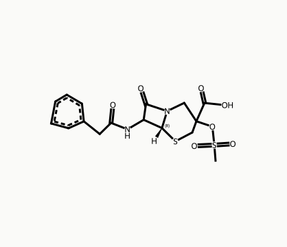 CS(=O)(=O)OC1(C(=O)O)CS[C@@H]2C(NC(=O)Cc3ccccc3)C(=O)N2C1